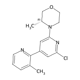 Cc1cccnc1-c1cc(Cl)nc(N2CCOC[C@H]2C)c1